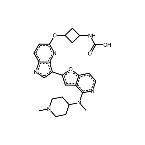 CN1CCC(N(C)c2nccc3oc(-c4cnc5ccc(OC6CC(NC(=O)O)C6)nn45)cc23)CC1